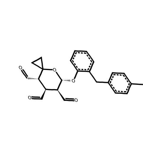 Cc1ccc(Cc2ccccc2O[C@H]2OC3(CC3)[C@@H](C=O)[C@H](C=O)[C@@H]2C=O)cc1